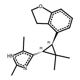 Cc1nc([C@@H]2[C@@H](c3cccc4c3CCO4)C2(C)C)c(C)[nH]1